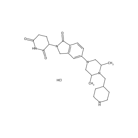 CC1CN(c2ccc3c(c2)CN(C2CCC(=O)NC2=O)C3=O)CC(C)N1CC1CCNCC1.Cl